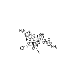 C=CCCC(=O)N[C@H](CC(=O)SCc1ccccc1)C(=O)O[C@H]1[C@@H](O)[C@H](n2cnc3c(N)ncnc32)O[C@H]1COP(=O)(O)O[C@H]1C[C@H](n2ccc(N)nc2=O)O[C@@H]1COP(=O)(O)O